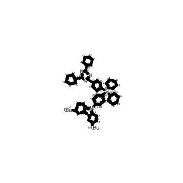 CC(C)(C)c1ccc2c(c1)c1cc(C(C)(C)C)ccc1n2-c1ccc([Si](c2ccccc2)(c2ccccc2)c2ccc(-c3nc(-c4ccccc4)nc(-c4ccccc4)n3)cc2)cc1